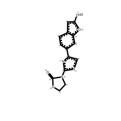 O=Cc1cc2ccc(-c3csc(N4CCOC4=O)n3)cc2o1